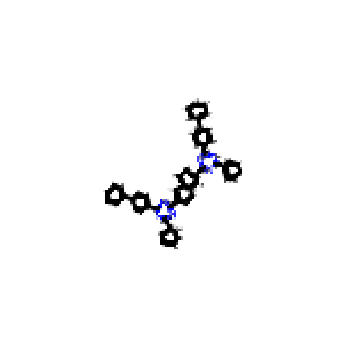 c1ccc(-c2ccc(-c3nc(-c4ccccc4)nc(-c4ccc5cc(-c6nc(-c7ccccc7)nc(-c7ccc(-c8ccccc8)cc7)n6)ccc5c4)n3)cc2)cc1